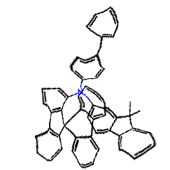 CC1(C)c2ccccc2-c2ccc(N(c3ccc(-c4ccccc4)cc3)c3cccc4c3C3(C5=C4CCC=C5)c4ccccc4-c4ccccc43)cc21